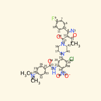 Cc1onc(-c2ccc(F)cc2)c1C(=O)N1CCN(c2cc(NC(=O)c3ccc(N(C)C)cc3)c([N+](=O)[O-])cc2Cl)CC1